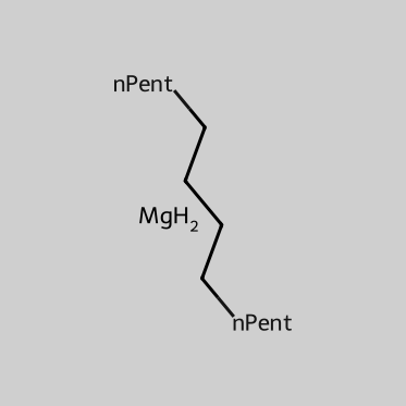 CCCCCCCCCCCCCC.[MgH2]